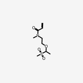 C=CC(=O)N(C)CCOC(C)S(C)(=O)=O